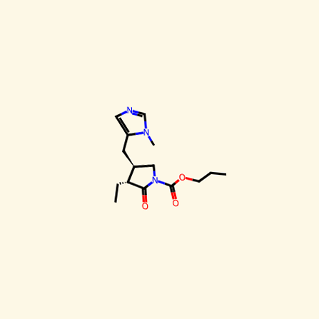 CCCOC(=O)N1C[C@H](Cc2cncn2C)[C@@H](CC)C1=O